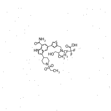 CCS(=O)(=O)N1CCC(c2c[nH]c3c(C(N)=O)cc(-c4csc(CN(C)[C@@H](C)CO)c4)cc23)CC1.O=C(O)C(F)(F)F